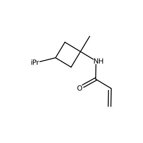 C=CC(=O)NC1(C)CC(C(C)C)C1